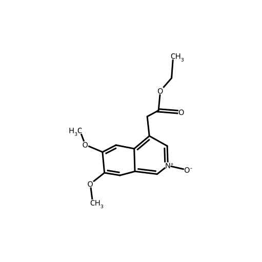 CCOC(=O)Cc1c[n+]([O-])cc2cc(OC)c(OC)cc12